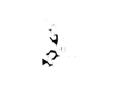 CC(C)(C)OC(=O)N1C[C@@H]2C(Nc3cc(=O)n(C4(C(F)F)CC4)cc3C(=O)[O-])[C@@H]2C1.[Li+]